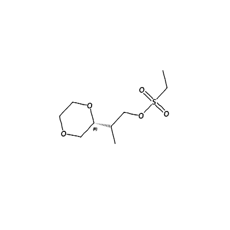 CCS(=O)(=O)OCC(C)[C@@H]1COCCO1